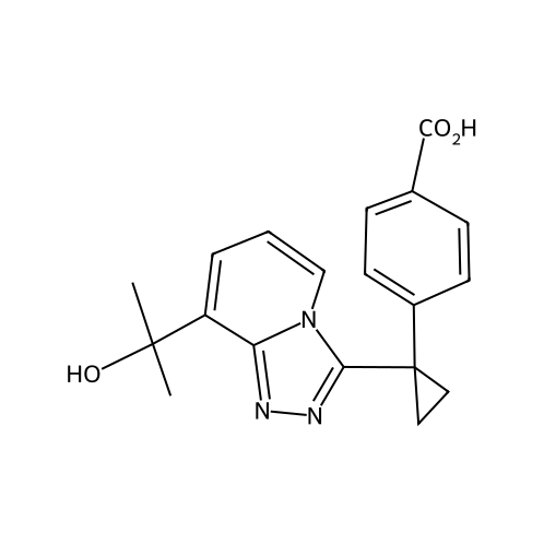 CC(C)(O)c1cccn2c(C3(c4ccc(C(=O)O)cc4)CC3)nnc12